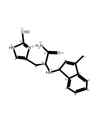 CC1=CC(N[C@@H](Cc2c[nH]c(C=O)n2)C(N)=O)c2ccccc21